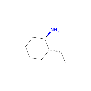 CC[C@@H]1CCCC[C@H]1N